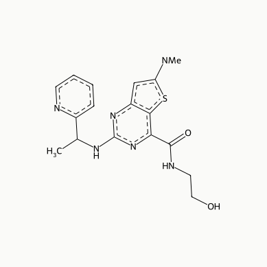 CNc1cc2nc(NC(C)c3ccccn3)nc(C(=O)NCCO)c2s1